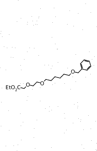 CCOC(=O)COCCOCCCCCCOCc1ccccc1